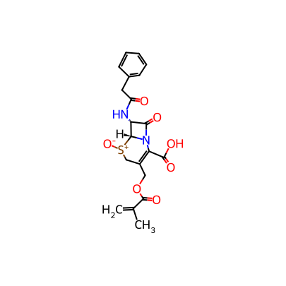 C=C(C)C(=O)OCC1=C(C(=O)O)N2C(=O)[C@@H](NC(=O)Cc3ccccc3)[C@H]2[S+]([O-])C1